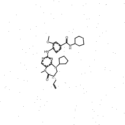 C=CC[C@H]1CN(C2CCCC2)c2nc(Nc3ccc(C(=O)NC4CCCCC4)cc3OC)ncc2N(C)C1=O